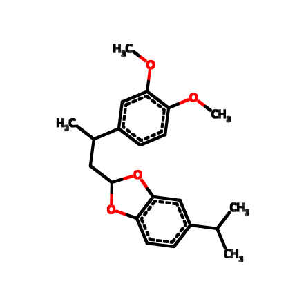 COc1ccc(C(C)CC2Oc3ccc(C(C)C)cc3O2)cc1OC